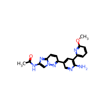 COc1cccc(-c2cc(-c3ccc4nc(NC(C)=O)cn4n3)cnc2N)n1